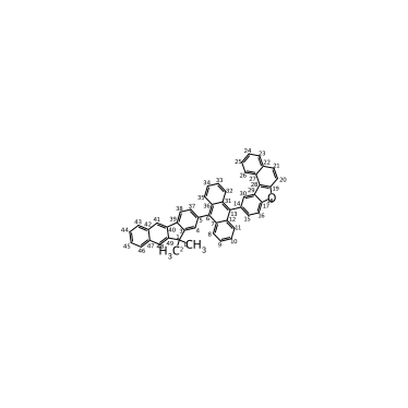 CC1(C)c2cc(-c3c4ccccc4c(-c4ccc5oc6ccc7ccccc7c6c5c4)c4ccccc34)ccc2-c2cc3ccccc3cc21